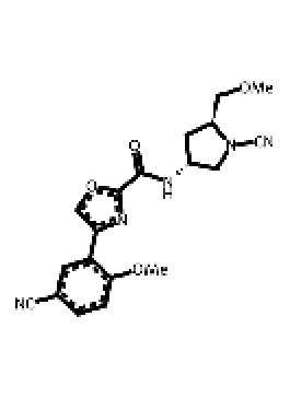 COC[C@@H]1C[C@@H](NC(=O)c2nc(-c3cc(C#N)ccc3OC)co2)CN1C#N